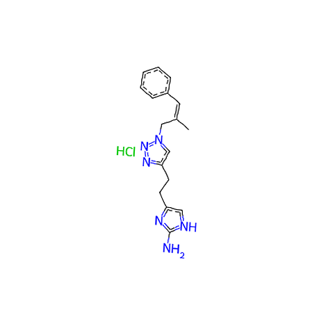 CC(=Cc1ccccc1)Cn1cc(CCc2c[nH]c(N)n2)nn1.Cl